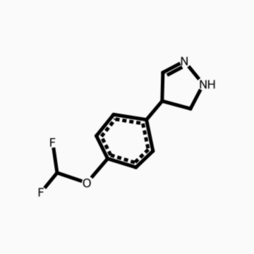 FC(F)Oc1ccc(C2C=NNC2)cc1